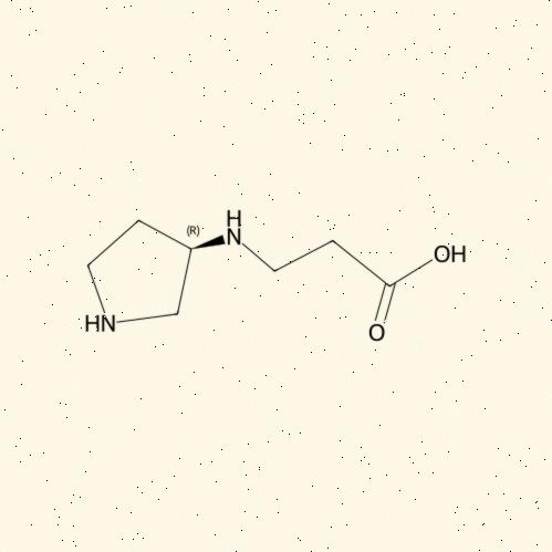 O=C(O)CCN[C@@H]1CCNC1